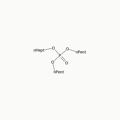 CCCCCCCOP(=O)(OCCCCC)OCCCCC